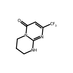 O=c1cc(C(F)(F)F)nc2n1CCCN2